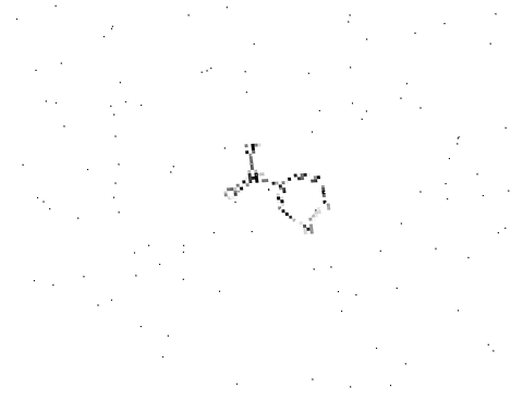 O=[N+]([O-])c1ccnnc1